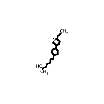 C=CCc1ccc(-c2ccc(/C=C/CCCC(C)O)cc2)cn1